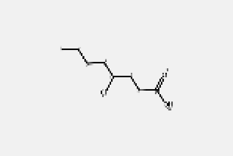 CCCCC(Cl)CCC(=O)O